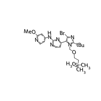 COc1cc(Nc2nccc(-c3c(Br)nc(C(C)(C)C)n3COCC[Si](C)(C)C)n2)ccn1